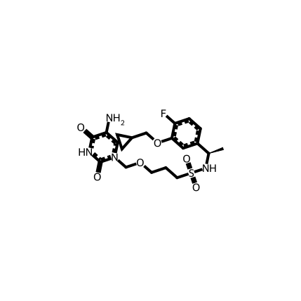 C[C@@H](NS(=O)(=O)CCCOCn1cc(N)c(=O)[nH]c1=O)c1ccc(F)c(OCC2CC2)c1